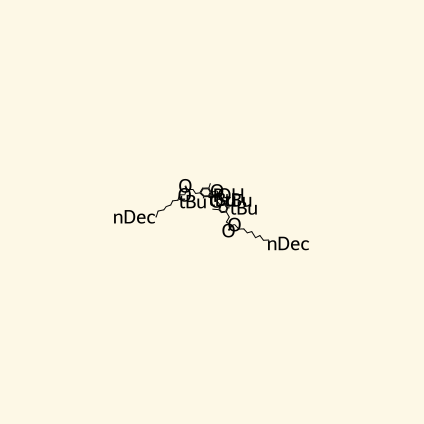 CCCCCCCCCCCCCCCCCCOC(=O)CCc1cc(C)c(OP(O)Oc2c(C)cc(CCC(=O)OCCCCCCCCCCCCCCCCCC)c(C(C)(C)C)c2C(C)(C)C)c(C(C)(C)C)c1C(C)(C)C